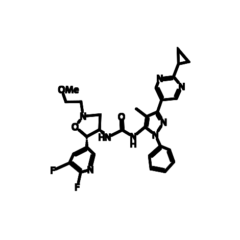 COCCN1C[C@@H](NC(=O)Nc2c(C)c(-c3cnc(C4CC4)nc3)nn2-c2ccccc2)[C@H](c2cnc(F)c(F)c2)O1